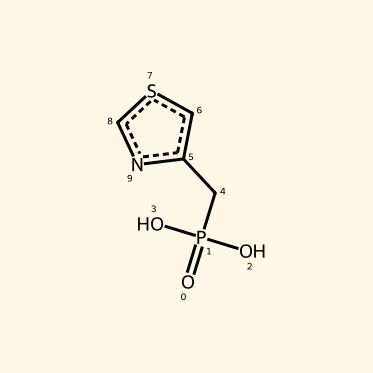 O=P(O)(O)Cc1cscn1